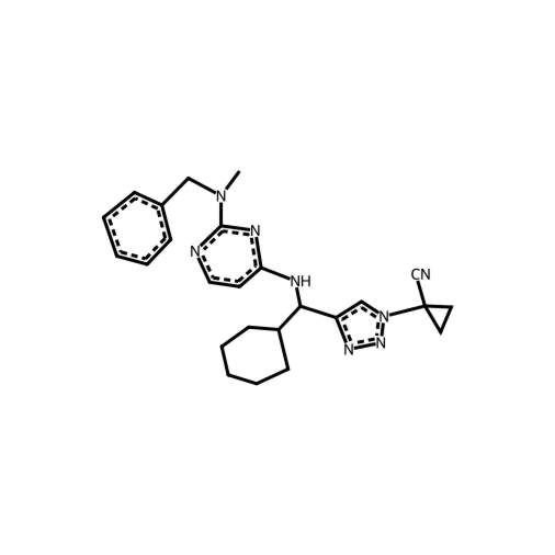 CN(Cc1ccccc1)c1nccc(NC(c2cn(C3(C#N)CC3)nn2)C2CCCCC2)n1